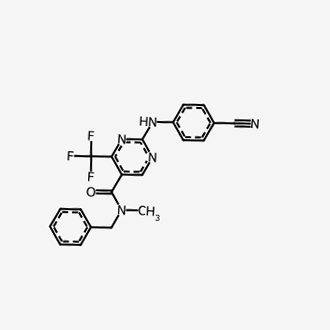 CN(Cc1ccccc1)C(=O)c1cnc(Nc2ccc(C#N)cc2)nc1C(F)(F)F